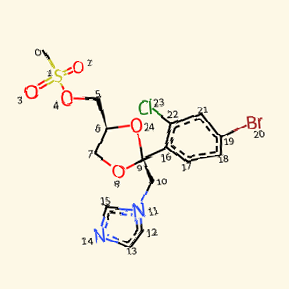 CS(=O)(=O)OC[C@@H]1CO[C@@](Cn2ccnc2)(c2ccc(Br)cc2Cl)O1